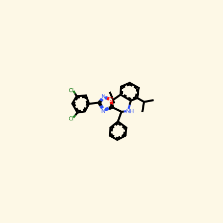 CC(C)c1cccc(C(C)C)c1NC(c1ccccc1)c1nc(-c2cc(Cl)cc(Cl)c2)no1